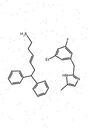 BCCC=CCC(c1ccccc1)c1ccccc1.CCc1cc(F)cc(Cc2ncc(C)[nH]2)c1